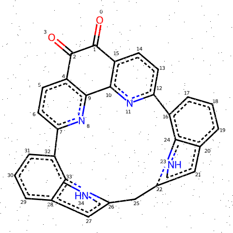 O=C1C(=O)c2ccc3nc2-c2nc(ccc21)-c1cccc2cc([nH]c12)Cc1cc2cccc-3c2[nH]1